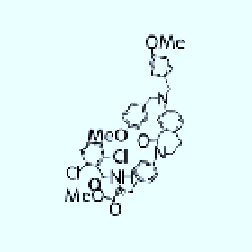 COC(=O)[C@H](Cc1ccc(N2CCc3ccc(N(Cc4ccc(OC)cc4)Cc4ccc(OC)cc4)cc3C2=O)cc1)NC(=O)c1c(Cl)cccc1Cl